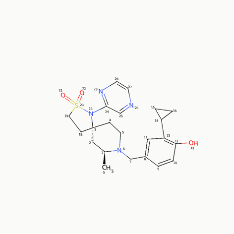 C[C@H]1C[C@]2(CCN1Cc1ccc(O)c(C3CC3)c1)CCS(=O)(=O)N2c1cnccn1